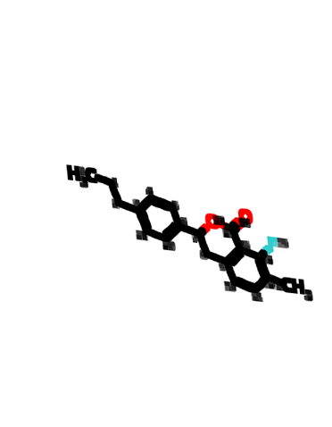 CCCc1ccc(C2Cc3ccc(C)c(F)c3C(=O)O2)cc1